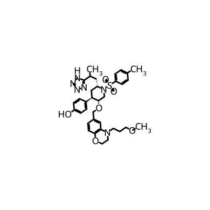 COCCCN1CCOc2ccc(CO[C@H]3CN(S(=O)(=O)c4ccc(C)cc4)[C@@H](CC(C)c4nnn[nH]4)C[C@@H]3c3ccc(O)cc3)cc21